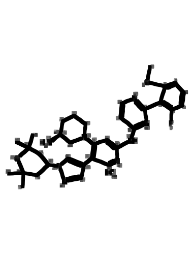 COc1cccc(F)c1-c1nccc(Nc2cc(N3CCC[C@H](N)C3)c(-c3cnn(C4CC(C)(C)OC(C)(C)C4)c3)cn2)n1.Cl